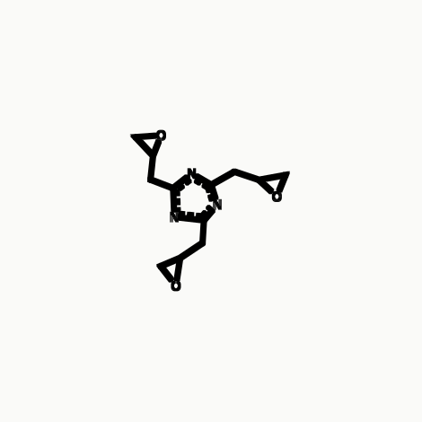 C1OC1Cc1nc(CC2CO2)nc(CC2CO2)n1